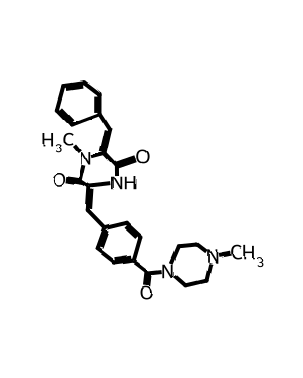 CN1CCN(C(=O)c2ccc(C=c3[nH]c(=O)c(=Cc4ccccc4)n(C)c3=O)cc2)CC1